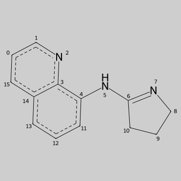 c1cnc2c(NC3=NCCC3)cccc2c1